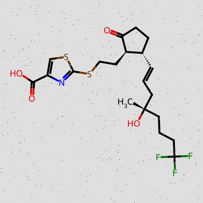 C[C@@](O)(CC=C[C@H]1CCC(=O)[C@@H]1CCSc1nc(C(=O)O)cs1)CCCC(F)(F)F